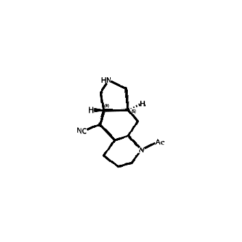 CC(=O)N1CCCC2C(C#N)[C@@H]3CNC[C@H]3CC21